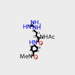 CNC(=O)c1ccc(NC(=O)[C@H](CCCNC(=N)N)NC(C)=O)cc1